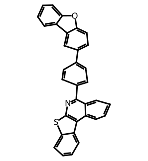 c1ccc2c(c1)oc1ccc(-c3ccc(-c4nc5sc6ccccc6c5c5ccccc45)cc3)cc12